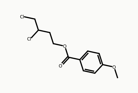 COc1ccc(C(=O)OCCC(Cl)CCl)cc1